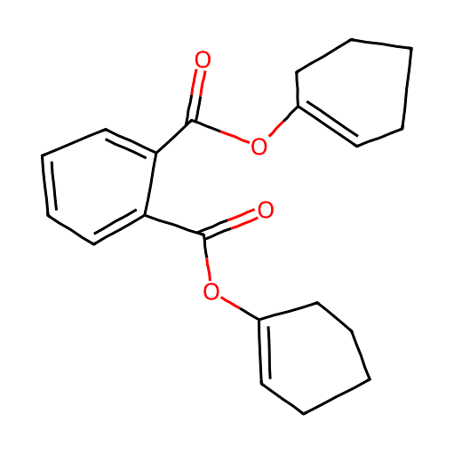 O=C(OC1=CCCCC1)c1ccccc1C(=O)OC1=CCCCC1